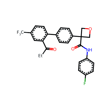 CCC(=O)c1cc(C(F)(F)F)ccc1-c1ccc(C2(C(=O)Nc3ccc(F)cc3)COC2)cc1